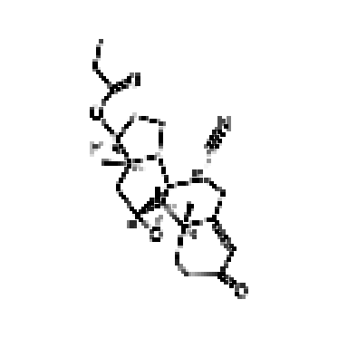 CCC(=O)O[C@@]1(I)CCC2C3[C@H](C#N)CC4=CC(=O)CC[C@]4(C)[C@]34O[C@@H]4C[C@@]21C